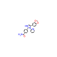 NC(=O)c1ccc(C2NC=C(c3ccc4c(c3)OCO4)N2c2ccccn2)cc1